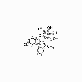 CC(=O)c1ccccc1-n1cc(O[C@@H]2O[C@H](CO)[C@H](O)[C@H](O)[C@H]2O)c2ccc(Cl)cc21